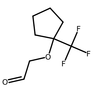 O=CCOC1(C(F)(F)F)CCCC1